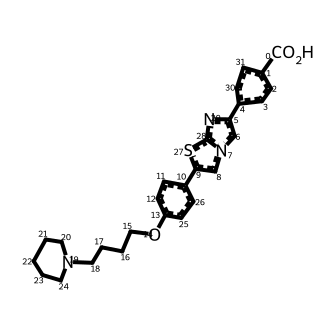 O=C(O)c1ccc(-c2cn3cc(-c4ccc(OCCCCN5CCCCC5)cc4)sc3n2)cc1